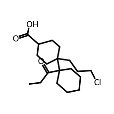 CCC(=O)C1(C2(CCCCl)CCC(C(=O)O)CC2)CCCCC1